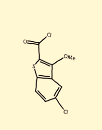 COc1c(C(=O)Cl)sc2ccc(Cl)cc12